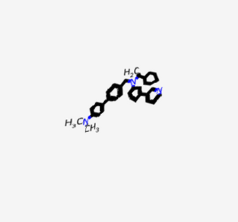 C=C(C1CCCCC1)N(Cc1ccc(-c2ccc(N(C)C)cc2)cc1)c1cccc(-c2cccnc2)c1